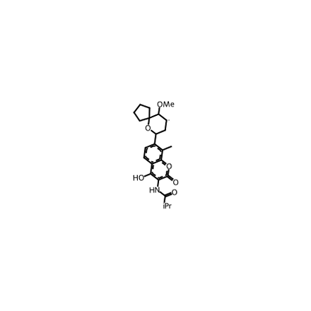 COC1[CH]CC(c2ccc3c(O)c(NC(=O)C(C)C)c(=O)oc3c2C)OC12CCCC2